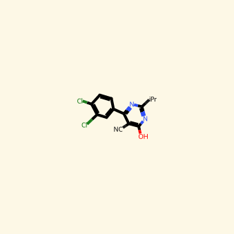 CC(C)c1nc(O)c(C#N)c(-c2ccc(Cl)c(Cl)c2)n1